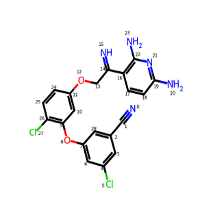 N#Cc1cc(Cl)cc(Oc2cc(OCC(=N)c3ccc(N)nc3N)ccc2Cl)c1